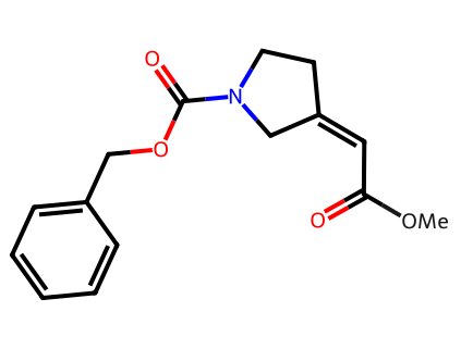 COC(=O)/C=C1/CCN(C(=O)OCc2ccccc2)C1